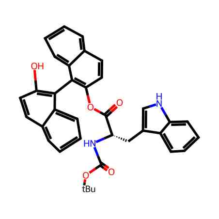 CC(C)(C)OC(=O)N[C@@H](Cc1c[nH]c2ccccc12)C(=O)Oc1ccc2ccccc2c1-c1c(O)ccc2ccccc12